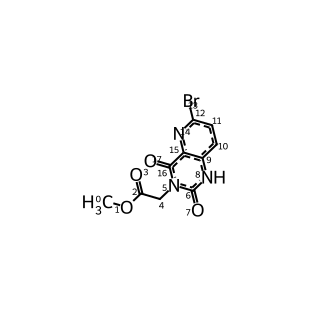 COC(=O)Cn1c(=O)[nH]c2ccc(Br)nc2c1=O